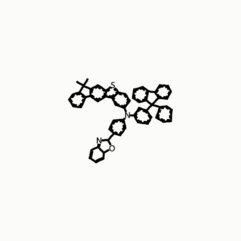 CC1(C)c2ccccc2-c2cc3c(cc21)sc1ccc(N(c2ccc(C4N=C5C=CC=CC5O4)cc2)c2cccc(C4(c5ccccc5)c5ccccc5-c5ccccc54)c2)cc13